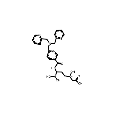 O=C(O)C[C@H](O)CCC(NC(=O)c1ccc(CN(Cc2ccccn2)Cc2ccccn2)nc1)B(O)O